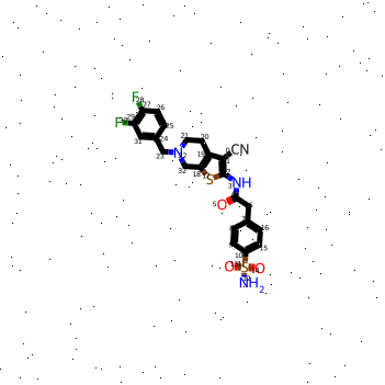 N#Cc1c(NC(=O)Cc2ccc(S(N)(=O)=O)cc2)sc2c1CCN(Cc1ccc(F)c(F)c1)C2